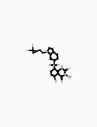 O=c1[nH]c2c(S(=O)(=O)c3ccc4ccn(CCC5CC5(F)F)c4c3)ccc(Cl)c2c(=O)n1O